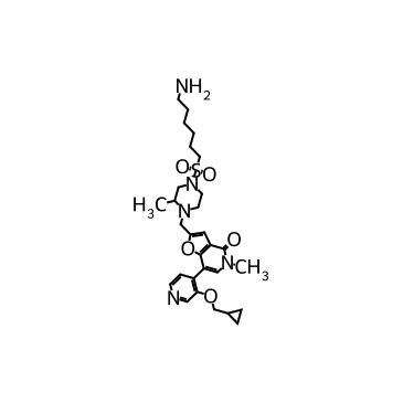 CC1CN(S(=O)(=O)CCCCCCN)CCN1Cc1cc2c(=O)n(C)cc(-c3ccncc3OCC3CC3)c2o1